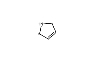 [C]1C=CCN1